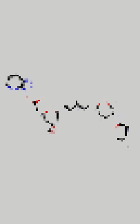 CC(=O)O[C@@H](C)/C=C\C(=O)N[C@@H]1C[C@H](C)[C@H](C/C=C(C)/C=C/[C@@H]2C[C@@]3(CO3)C[C@@H](CC(=O)On3nnc4cccnc43)O2)O[C@@H]1C